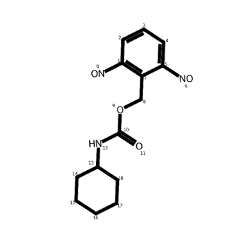 O=Nc1cccc(N=O)c1COC(=O)NC1CCCCC1